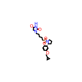 O=C1CN(CCCCCS(=O)(=O)N2CCC[C@@H]2c2cccc(OCC3CC3)c2)C(=O)N1